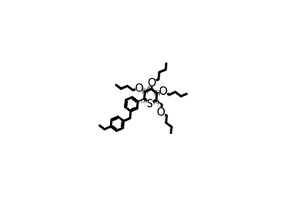 CCCCOC[C@H]1S[C@@H](c2cccc(Cc3ccc(CC)cc3)c2)[C@H](OCCCC)[C@@H](OCCCC)[C@@H]1OCCCC